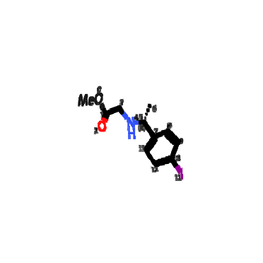 COC(=O)CN[C@H](C)c1ccc(I)cc1